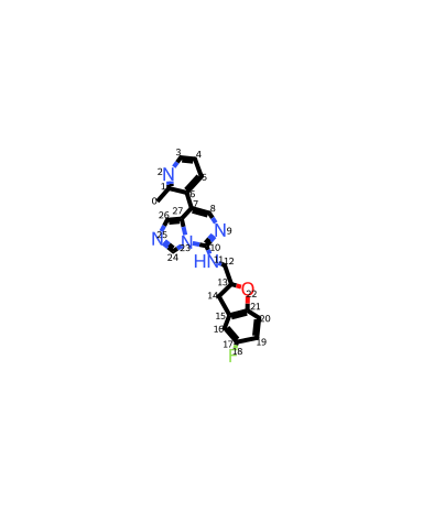 Cc1ncccc1-c1cnc(NCC2Cc3cc(F)ccc3O2)n2cncc12